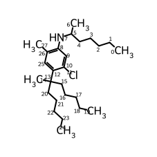 CCCCCC(C)Nc1cc(Cl)c(C(C)(CCCCC)CCCCC)cc1C